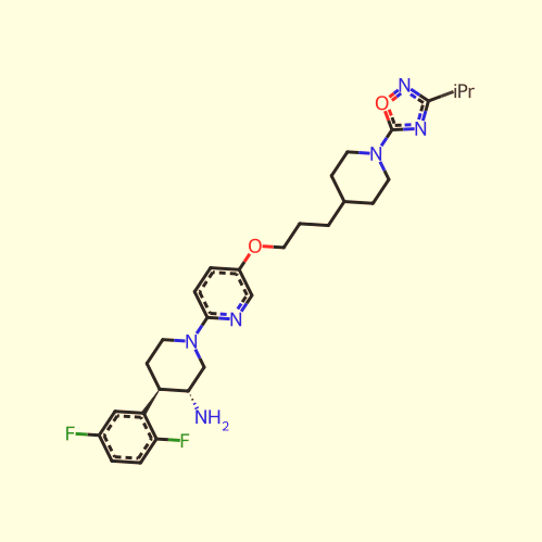 CC(C)c1noc(N2CCC(CCCOc3ccc(N4CC[C@H](c5cc(F)ccc5F)[C@@H](N)C4)nc3)CC2)n1